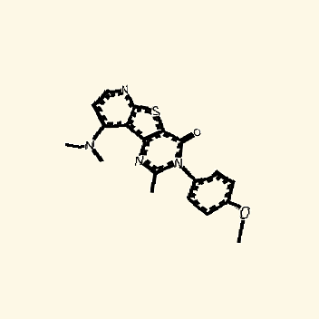 COc1ccc(-n2c(C)nc3c(sc4nccc(N(C)C)c43)c2=O)cc1